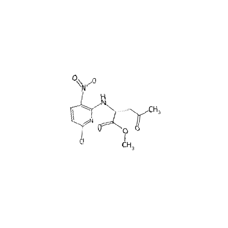 COC(=O)[C@@H](CC(C)=O)Nc1nc(Cl)ccc1[N+](=O)[O-]